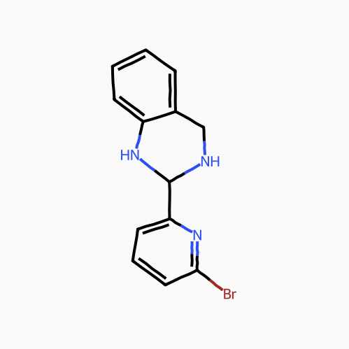 Brc1cccc(C2NCc3ccccc3N2)n1